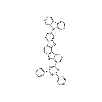 c1ccc(-c2nc(-c3ccccc3)nc(-c3cccc4c3sc3ccc5c6ccc(-n7c8ccccc8c8ccccc87)cc6oc5c34)n2)cc1